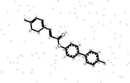 CC1=CC=C(/C=C/C(=O)Oc2ccc(-c3ccc(C)cc3)cc2)CC1